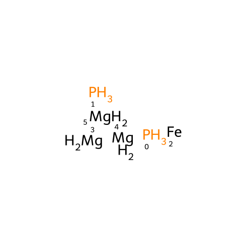 P.P.[Fe].[MgH2].[MgH2].[MgH2]